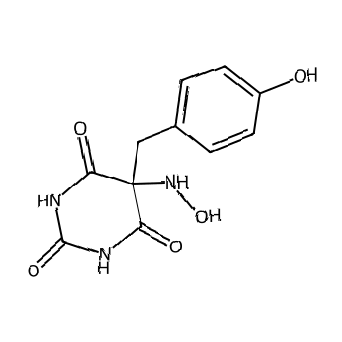 O=C1NC(=O)C(Cc2ccc(O)cc2)(NO)C(=O)N1